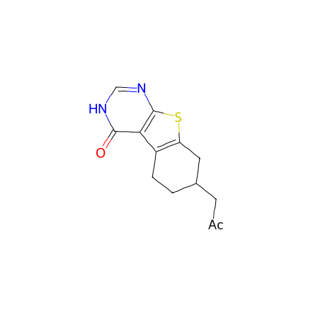 CC(=O)CC1CCc2c(sc3nc[nH]c(=O)c23)C1